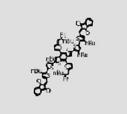 CCCCc1cc(C=C2C(=O)c3ccccc3C2=O)sc1-c1cc(CCCC)c(-c2cc3c(-c4ccc(CC(CC)CCCC)s4)c4sc(-c5sc(-c6sc(C=C7C(=O)c8ccccc8C7=O)cc6CCCC)cc5CCCC)cc4c(-c4ccc(CC(CC)CCCC)s4)c3s2)s1